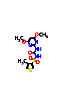 COc1cc(OC)nc(NC(=O)NS(=O)(=O)c2cscc2C)n1